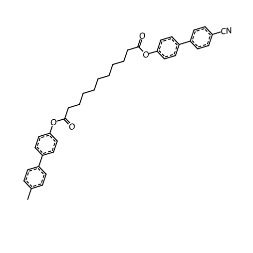 Cc1ccc(-c2ccc(OC(=O)CCCCCCCCCC(=O)Oc3ccc(-c4ccc(C#N)cc4)cc3)cc2)cc1